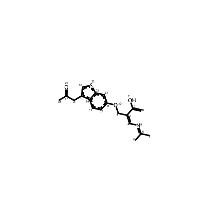 C=C(O)/C(=C\N=C(C)C)COc1ccc2c(CC(C)=O)csc2c1